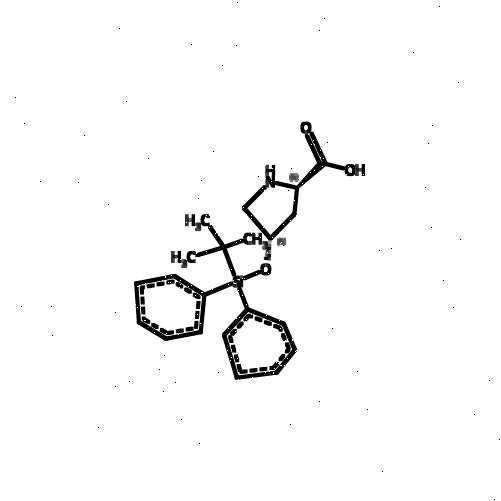 CC(C)(C)[Si](O[C@@H]1CN[C@@H](C(=O)O)C1)(c1ccccc1)c1ccccc1